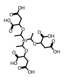 CC(OC(CC(=O)O)C(=O)O)[As](C(C)OC(CC(=O)O)C(=O)O)C(C)OC(CC(=O)O)C(=O)O